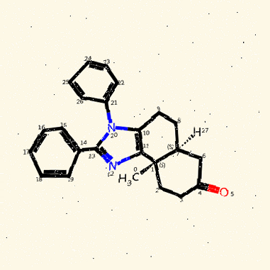 C[C@]12CCC(=O)C[C@@H]1CCc1c2nc(-c2ccccc2)n1-c1ccccc1